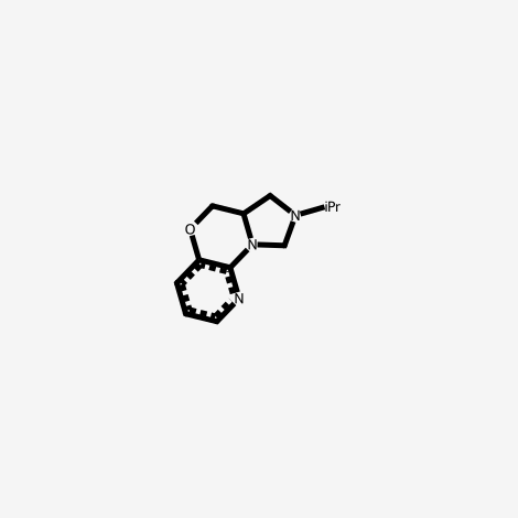 CC(C)N1CC2COc3cccnc3N2C1